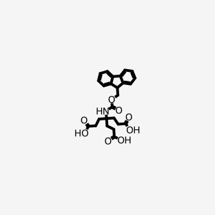 O=C(O)CCC(CCC(=O)O)(CCC(=O)O)NC(=O)OCC1c2ccccc2-c2ccccc21